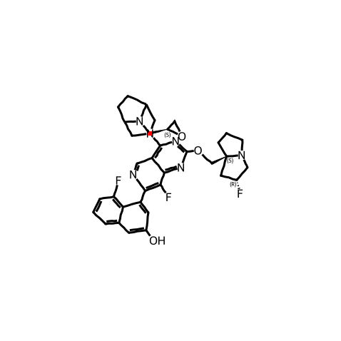 Oc1cc(-c2ncc3c(N4CC5CCC(C4)N5C[C@H]4CO4)nc(OC[C@@]45CCCN4C[C@H](F)C5)nc3c2F)c2c(F)cccc2c1